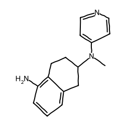 CN(c1ccncc1)C1CCc2c(N)cccc2C1